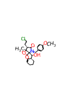 COc1ccc(CN2C(=O)[C@H](CCCl)[C@@]3(C)OC(=O)C23[C@@H](O)[C@@H]2C=CCCC2)cc1